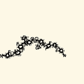 CC1(C)OCCC1n1c(Cc2cc(F)c(-c3cccc(OCc4ccc(C#N)cc4F)n3)cc2F)nc2ccc(C(=O)OC(=O)c3ccc4nc(Cc5cc(F)c(-c6cccc(OCc7ccc(C#N)cc7F)n6)cc5F)n(C5CCOC5(C)C)c4c3)cc21